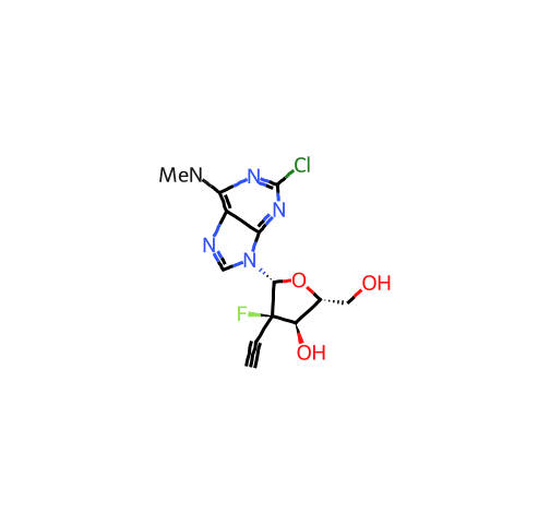 C#C[C@@]1(F)[C@H](O)[C@@H](CO)O[C@H]1n1cnc2c(NC)nc(Cl)nc21